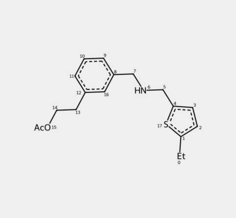 CCc1ccc(CNCc2cccc(CCOC(C)=O)c2)s1